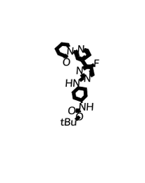 CC(C)(C)OC(=O)N[C@H]1CC[C@H](Nc2ncc(F)c(-c3ccnc(N4CCCCC4=O)c3)n2)CC1